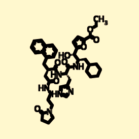 CCOC(=O)c1ccc([C@@H](O)[C@@H](CC2CCCCC2)NC(=O)[C@H](Cc2c[nH]cn2)NC(=O)[C@@H](CC(=O)NCCCN2CCCC2=O)Cc2cccc3ccccc23)o1